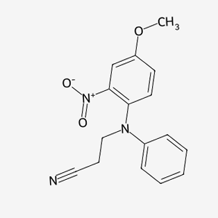 COc1ccc(N(CCC#N)c2ccccc2)c([N+](=O)[O-])c1